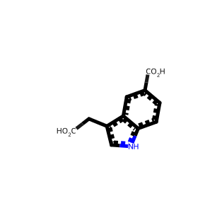 O=C(O)Cc1c[nH]c2ccc(C(=O)O)cc12